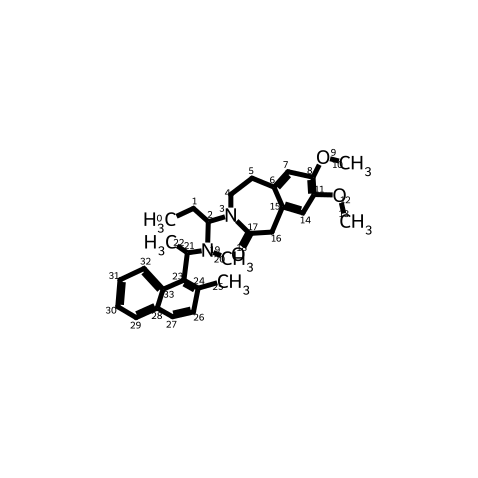 CCC(N1CCc2cc(OC)c(OC)cc2CC1=O)N(C)C(C)c1c(C)ccc2ccccc12